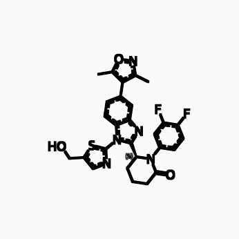 Cc1noc(C)c1-c1ccc2c(c1)nc([C@@H]1CCCC(=O)N1c1ccc(F)c(F)c1)n2-c1ncc(CO)s1